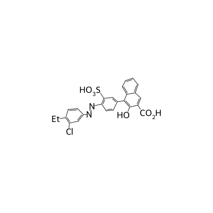 CCc1ccc(/N=N/c2ccc(-c3c(O)c(C(=O)O)cc4ccccc34)cc2S(=O)(=O)O)cc1Cl